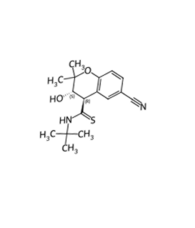 CC(C)(C)NC(=S)[C@@H]1c2cc(C#N)ccc2OC(C)(C)[C@H]1O